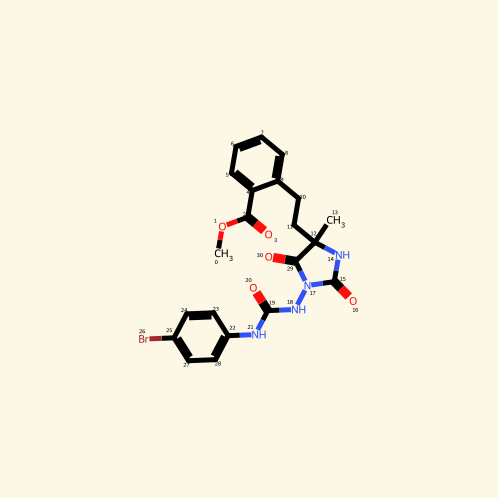 COC(=O)c1ccccc1CCC1(C)NC(=O)N(NC(=O)Nc2ccc(Br)cc2)C1=O